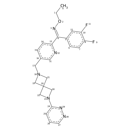 CCO/N=C(\c1ccc(F)c(F)c1)c1ccc(CN2CC3(C2)CN(c2cccnn2)C3)cn1